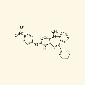 CN1C(=O)[C@H](NC(=O)Oc2ccc([N+](=O)[O-])cc2)N=C(c2ccccc2)c2ccccc21